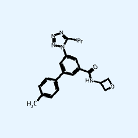 Cc1ccc(-c2cc(C(=O)NC3COC3)cc(-n3nnnc3C(C)C)c2)cc1